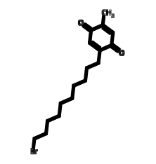 CC1=CC(=O)C(CCCCCCCCCCBr)=CC1=O